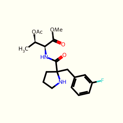 COC(=O)[C@@H](NC(=O)C1(Cc2cccc(F)c2)CCCN1)[C@@H](C)OC(C)=O